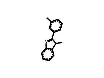 Cc1cccc(C2=Nc3ccccc3C2C)c1